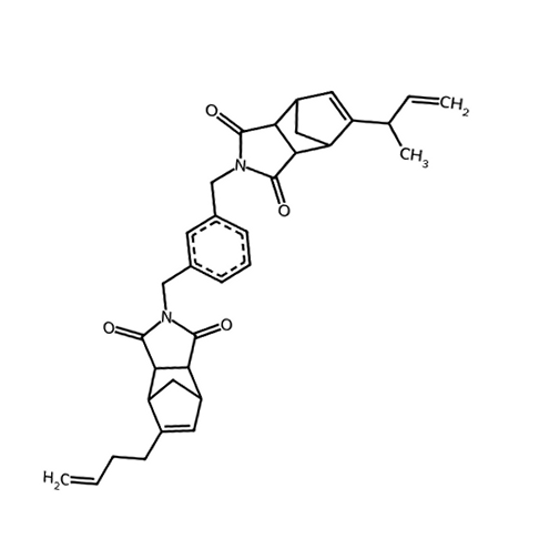 C=CCCC1=CC2CC1C1C(=O)N(Cc3cccc(CN4C(=O)C5C6C=C(C(C)C=C)C(C6)C5C4=O)c3)C(=O)C21